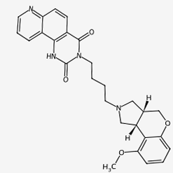 COc1cccc2c1[C@@H]1CN(CCCCn3c(=O)[nH]c4c(ccc5ncccc54)c3=O)C[C@@H]1CO2